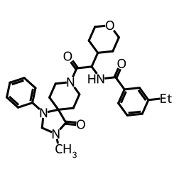 CCc1cccc(C(=O)NC(C(=O)N2CCC3(CC2)C(=O)N(C)CN3c2ccccc2)C2CCOCC2)c1